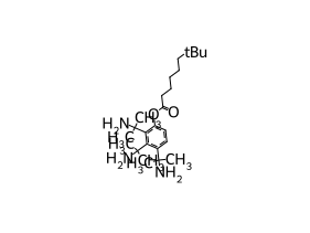 CC(C)(C)CCCCCC(=O)Oc1ccc(C(C)(C)N)c(C(C)(C)N)c1C(C)(C)N